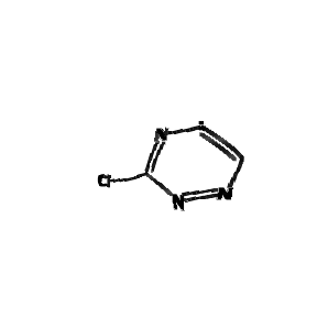 Clc1n[c]cnn1